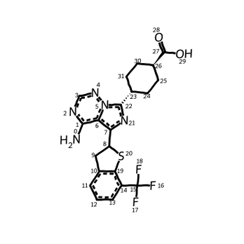 Nc1ncnn2c1c(C1Cc3cccc(C(F)(F)F)c3S1)nc2[C@H]1CC[C@H](C(=O)O)CC1